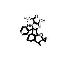 CC1CCC(C2=NC(O)=C(C(N)=O)NC2(c2ccccc2)c2cccnc2)OC12CC2